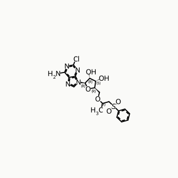 C[C@H](CS(=O)(=O)c1ccccc1)OC[C@H]1O[C@@H](n2cnc3c(N)nc(Cl)nc32)[C@H](O)[C@@H]1O